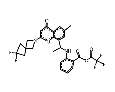 Cc1cc(C(C)Nc2ccccc2C(=O)OC(=O)C(F)(F)F)c2oc(N3CC4(C3)CC(F)(F)C4)cc(=O)c2c1